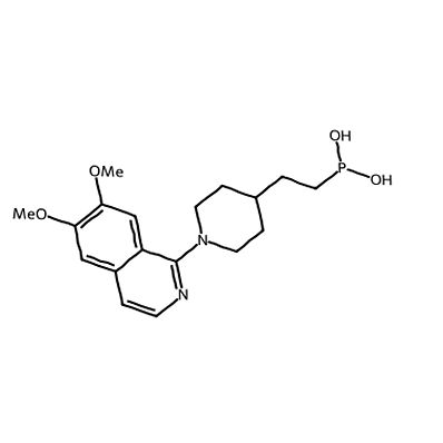 COc1cc2ccnc(N3CCC(CCP(O)O)CC3)c2cc1OC